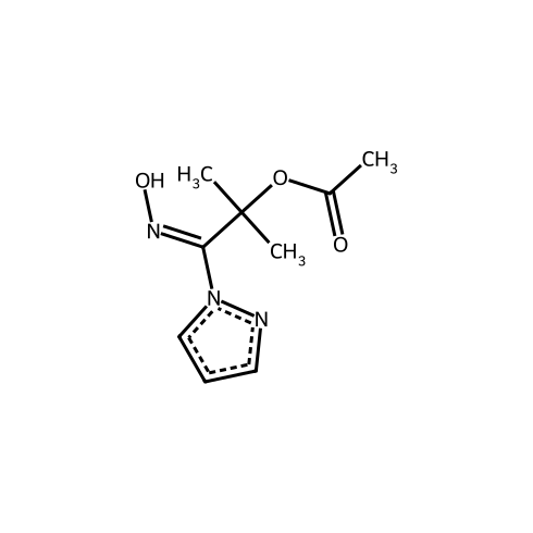 CC(=O)OC(C)(C)C(=NO)n1cccn1